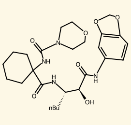 CCCC[C@H](NC(=O)C1(NC(=O)N2CCOCC2)CCCCC1)[C@H](O)C(=O)Nc1ccc2c(c1)OCO2